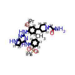 Cc1cc(Nc2nc(Nc3ccccc3S(=O)(=O)C(C)C)c3cc[nH]c3n2)c(OC(C)C)cc1C1CCN(CC(N)=O)CC1